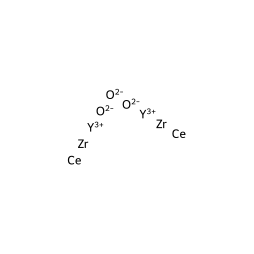 [Ce].[Ce].[O-2].[O-2].[O-2].[Y+3].[Y+3].[Zr].[Zr]